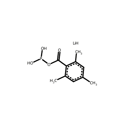 Cc1cc(C)c(C(=O)OP(O)O)c(C)c1.[LiH]